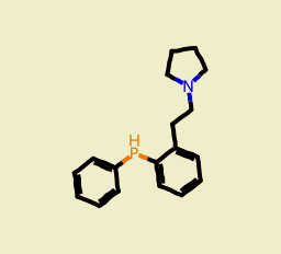 c1ccc(Pc2ccccc2CCN2CCCC2)cc1